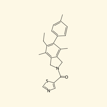 CCc1c(C)c2c(c(C)c1-c1ccc(C)cc1)CN(C(=O)c1cncs1)C2